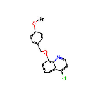 CC(C)Oc1ccc(COc2cccc3c(Cl)ccnc23)cc1